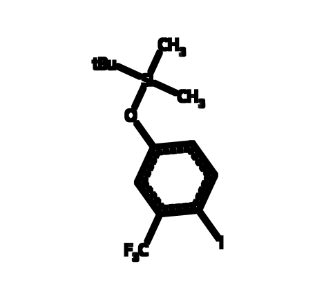 CC(C)(C)[Si](C)(C)Oc1ccc(I)c(C(F)(F)F)c1